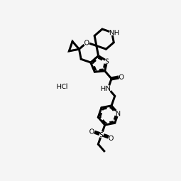 CCS(=O)(=O)c1ccc(CNC(=O)c2cc3c(s2)C2(CCNCC2)OC2(CC2)C3)nc1.Cl